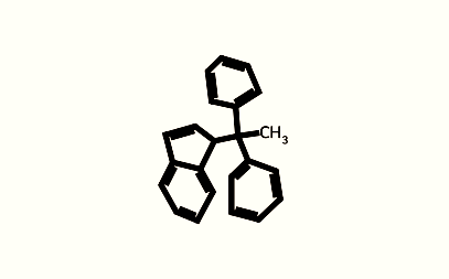 CC(c1ccccc1)(c1ccccc1)C1C=Cc2ccccc21